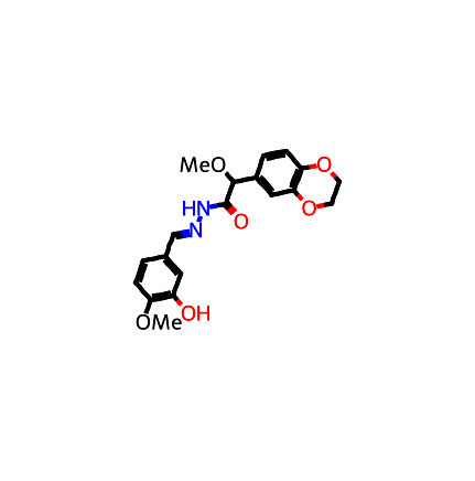 COc1ccc(/C=N/NC(=O)C(OC)c2ccc3c(c2)OCCO3)cc1O